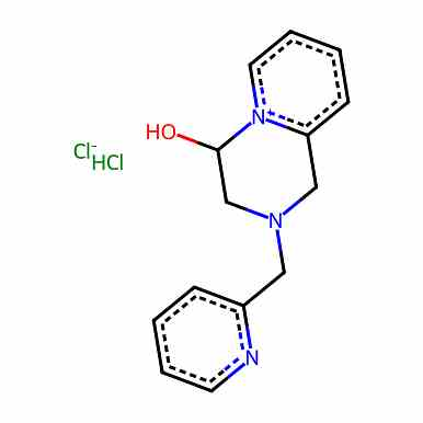 Cl.OC1CN(Cc2ccccn2)Cc2cccc[n+]21.[Cl-]